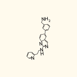 NCc1cccc(-c2ccc3nc(NCCc4ccccn4)ncc3c2)c1